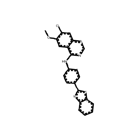 COc1cc2c(Nc3ccc(-c4nc5ccccc5s4)cc3)ncnc2cc1Cl